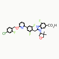 CC1(C)COC[C@H]1n1c(Cc2c(F)cc(-c3cccc(OCc4ccc(Cl)cc4F)n3)cc2F)nc2c(F)cc(C(=O)O)cc21